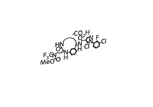 CC(=O)O.COC(=O)N(CC[C@@H]1Nc2cccc(c2)[C@@H](NC(=O)c2cnn(-c3cccc(Cl)c3F)c2Cl)CCCCCNC1=O)C(F)(F)F